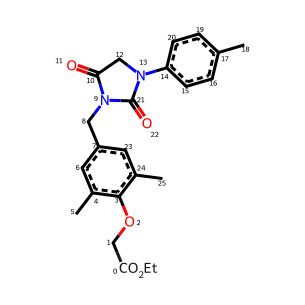 CCOC(=O)COc1c(C)cc(CN2C(=O)CN(c3ccc(C)cc3)C2=O)cc1C